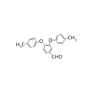 Cc1ccc(Oc2ccc(C=O)cc2Oc2ccc(C)cc2)cc1